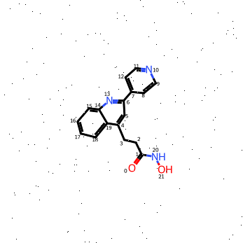 O=C(CCc1cc(-c2ccncc2)nc2ccccc12)NO